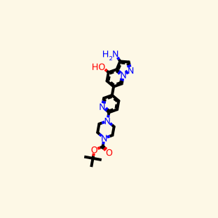 CC(C)(C)OC(=O)N1CCN(c2ccc(-c3cc(O)c4c(N)cnn4c3)cn2)CC1